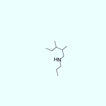 CCCNCC(C)C(C)CC